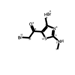 Br.CNc1nc(C)c(C(=O)CBr)s1